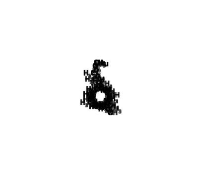 [2H]c1c([2H])c(-c2ccc(-c3ccc(OC(C)CC(C)CC)cc3C)cc2C)c([2H])c(C)c1C(=O)N[C@@H]1C(=O)N[C@@](C)([C@H](O)CC)C(=O)N2C[C@H](O)C[C@@]2(C)C(=O)N[C@@H]([C@H](O)[C@@H](O)c2ccc(O)c(C)c2C)C(=O)N[C@@H]([C@H](O)CC)C(=O)N2C(C)[C@](C)(C(C)C)[C@H](O)[C@H]2C(=O)N[C@H](OO)[C@H](O)C1C